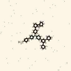 Cc1ccc(-c2ccc(N(c3ccc(-c4cc(-c5ccccc5)cc(-c5ccccc5)c4)cc3)c3ccc(-c4cccc5c4oc4ccccc45)cc3)cc2)cc1